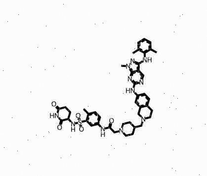 Cc1ccc(NC(=O)CN2CCC(CN3CCc4ccc(Nc5ncc6c(Nc7c(C)cccc7C)nn(C)c6n5)cc4C3)CC2)cc1S(=O)(=O)NC1CCC(=O)NC1=O